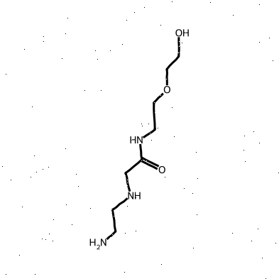 NCCNCC(=O)NCCOCCO